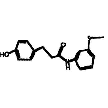 CSc1cccc(NC(=O)CCc2ccc(O)cc2)c1